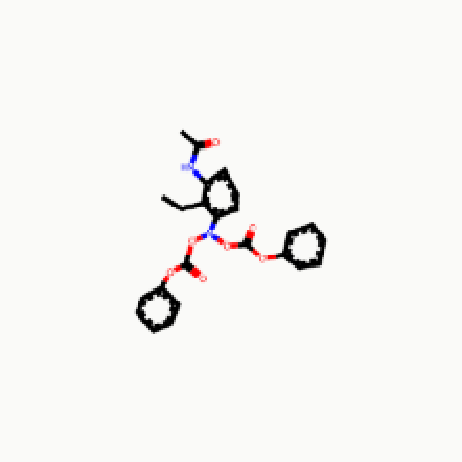 CCc1c(NC(C)=O)cccc1N(OC(=O)Oc1ccccc1)OC(=O)Oc1ccccc1